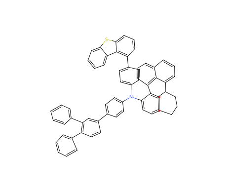 c1ccc(-c2ccc(-c3ccc(N(c4ccc(-c5cccc6sc7ccccc7c56)cc4)c4ccccc4-c4cccc5cccc(C6CCCCC6)c45)cc3)cc2-c2ccccc2)cc1